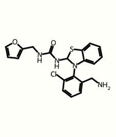 NCc1cccc(Cl)c1N1c2ccccc2SC1NC(=O)NCc1ccco1